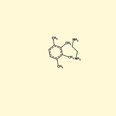 Cc1ccc(C)c(C)c1C.NCCN